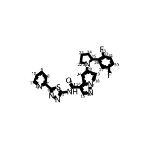 O=C(Nc1nnc(-c2ccccn2)s1)c1cnn2ccc(N3CCCC3c3cc(F)ccc3F)cc12